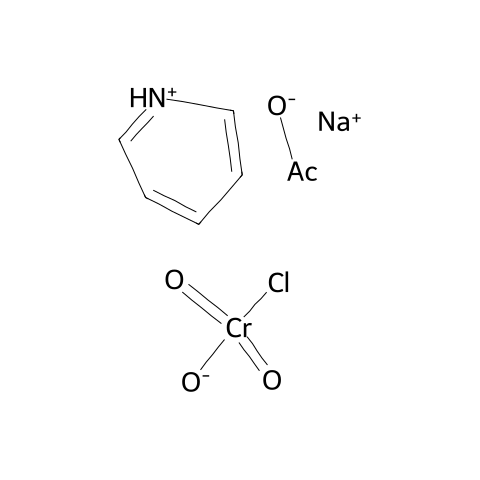 CC(=O)[O-].[Na+].[O]=[Cr](=[O])([O-])[Cl].c1cc[nH+]cc1